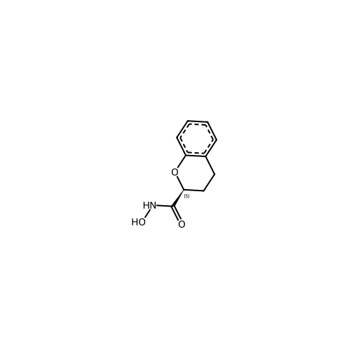 O=C(NO)[C@@H]1CCc2ccccc2O1